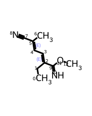 CC/C(=C\C=C(/C)C#N)C(=N)OC